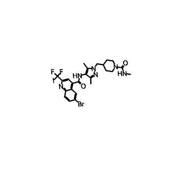 CNC(=O)N1CCC(Cn2nc(C)c(NC(=O)c3cc(C(F)(F)I)nc4ccc(Br)cc34)c2C)CC1